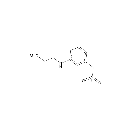 COCCNc1cccc(C[SH](=O)=O)c1